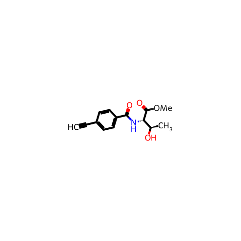 C#Cc1ccc(C(=O)N[C@H](C(=O)OC)[C@@H](C)O)cc1